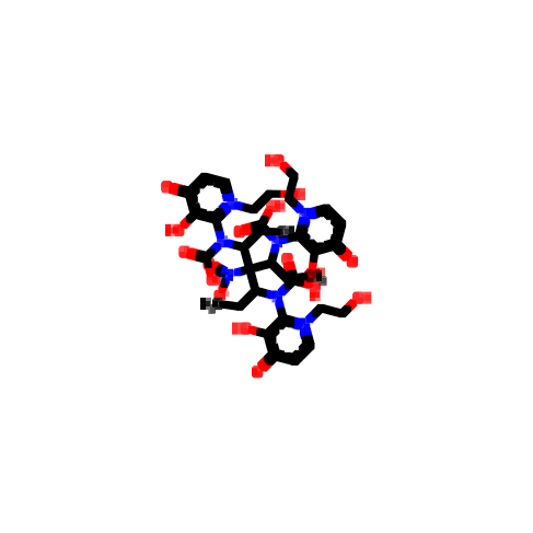 CCC(N(C(=O)O)c1c(O)c(=O)ccn1CCO)C(C(CC)N(C(=O)O)c1c(O)c(=O)ccn1CCO)(C(CC)N(C(=O)O)c1c(O)c(=O)ccn1CCO)[N+](=O)[O-]